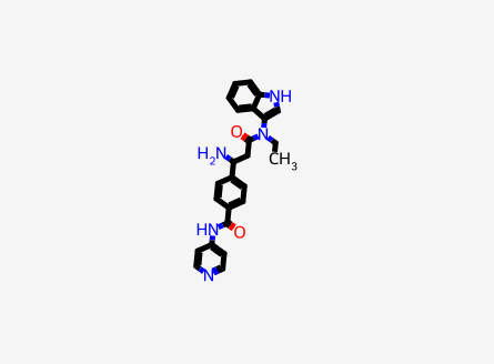 CCN(C(=O)CC(N)c1ccc(C(=O)Nc2ccncc2)cc1)c1c[nH]c2ccccc12